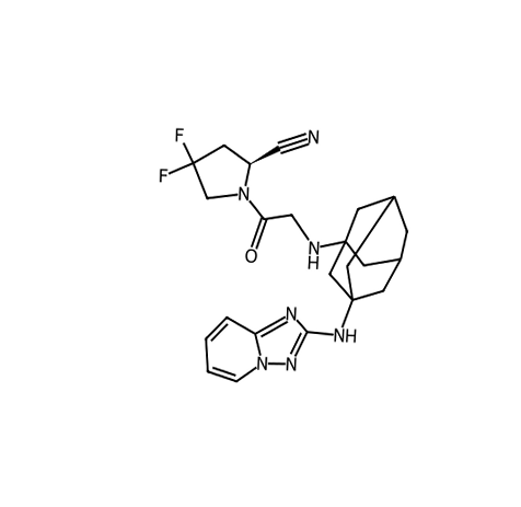 N#C[C@@H]1CC(F)(F)CN1C(=O)CNC12CC3CC(C1)CC(Nc1nc4ccccn4n1)(C3)C2